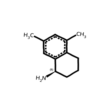 Cc1cc(C)c2c(c1)[C@H](N)CCC2